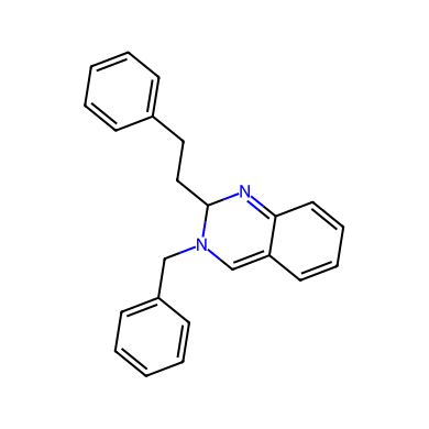 C1=c2ccccc2=NC(CCc2ccccc2)N1Cc1ccccc1